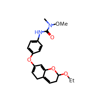 CCOC1CC=C2CC=C(Oc3ccc(NC(=O)N(C)OC)cc3)C=C2O1